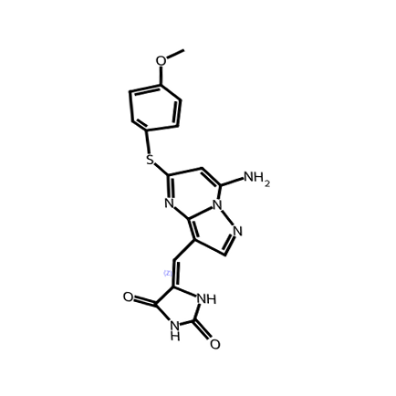 COc1ccc(Sc2cc(N)n3ncc(/C=C4\NC(=O)NC4=O)c3n2)cc1